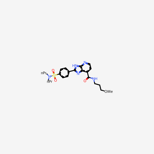 CCCN(CCC)S(=O)(=O)c1ccc(-c2nc3c(C(=O)NCCCOC)ccnc3[nH]2)cc1